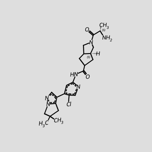 C[C@H](N)C(=O)N1CC2CC(C(=O)Nc3cc(-c4cnn5c4CC(C)(C)C5)c(Cl)cn3)C[C@@H]2C1